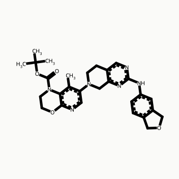 Cc1c(N2CCc3cnc(Nc4ccc5c(c4)COC5)nc3C2)cnc2c1N(C(=O)OC(C)(C)C)CCO2